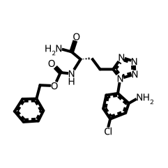 NC(=O)[C@H](CCc1nnnn1-c1ccc(Cl)cc1N)NC(=O)OCc1ccccc1